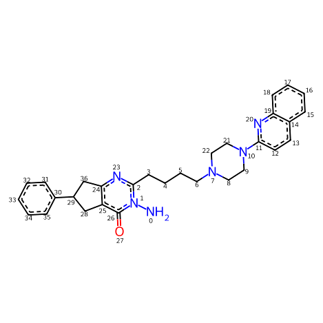 Nn1c(CCCCN2CCN(c3ccc4ccccc4n3)CC2)nc2c(c1=O)CC(c1ccccc1)C2